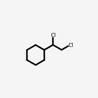 ClCC(Cl)[C]1CC[CH]CC1